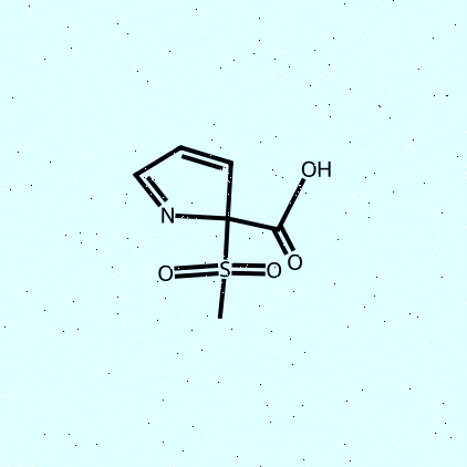 CS(=O)(=O)C1(C(=O)O)C=CC=N1